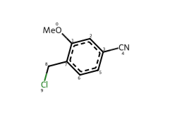 COc1cc(C#N)ccc1CCl